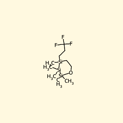 C[Si]1(CCC(F)(F)F)CCO[Si](C)(C)[Si]1(C)C